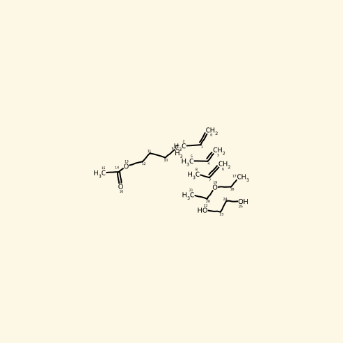 C=CC.C=CC.C=CC.CCCCOC(C)=O.CCOCC.OCCO